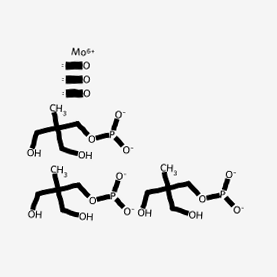 CC(CO)(CO)COP([O-])[O-].CC(CO)(CO)COP([O-])[O-].CC(CO)(CO)COP([O-])[O-].[C]=O.[C]=O.[C]=O.[Mo+6]